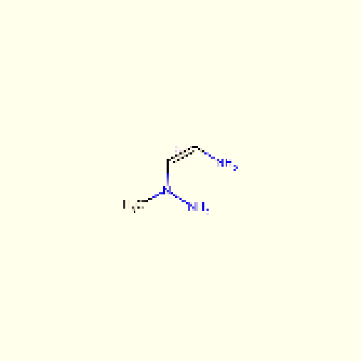 CN(N)/C=C\N